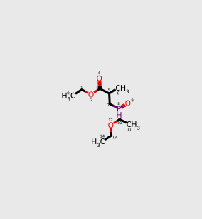 CCOC(=O)C(C)C[PH](=O)C(C)OCC